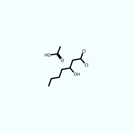 CC(=O)O.CCCCC(O)CC(Cl)Cl